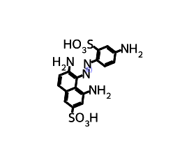 Nc1ccc(/N=N/c2c(N)ccc3cc(S(=O)(=O)O)cc(N)c23)c(S(=O)(=O)O)c1